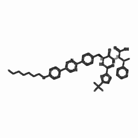 CCCCCCCOc1ccc(-c2cnc(-c3ccc(C[C@H](NC(=O)c4ccc(C(C)(C)C)s4)C(=O)N[C@H](C(=O)O)C(C)c4ccccc4)cc3)nc2)cc1